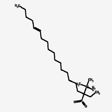 CCCCC=CCCCCCCCCCCCC(CC)(P(=O)=O)[N+](C)(C)C